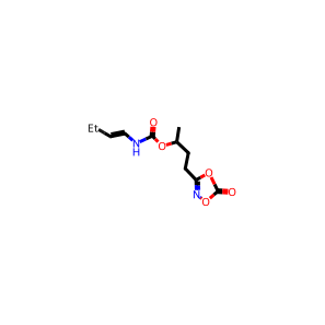 CCC=CNC(=O)OC(C)CCc1noc(=O)o1